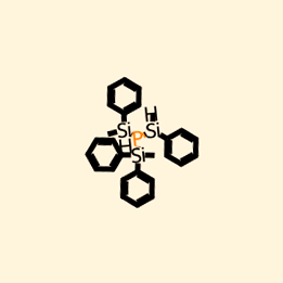 C[SiH](c1ccccc1)P([SiH](C)c1ccccc1)[Si](C)(c1ccccc1)c1ccccc1